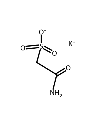 NC(=O)CS(=O)(=O)[O-].[K+]